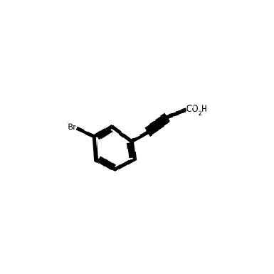 O=C(O)C#Cc1cccc(Br)c1